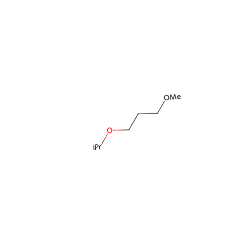 COCCCOC(C)C